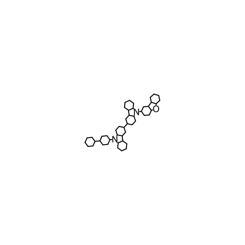 C1CCC(C2CCC(N3C4CCCCC4C4CC(C5CCC6C(C5)C5CCCCC5N6C5CCC6OC7CCCCC7C6C5)CCC43)CC2)CC1